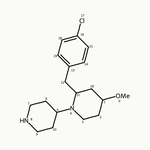 COC1CCN(C2CCNCC2)C(Cc2ccc(Cl)cc2)C1